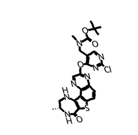 C[C@@H]1CNc2c(sc3ccc4nc(Oc5nc(Cl)ncc5CN(C)C(=O)OC(C)(C)C)cnc4c23)C(=O)N1